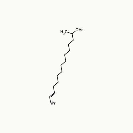 CCC/C=C/CCCCCCCCCCC(C)OC(C)=O